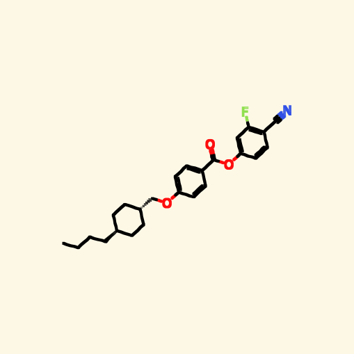 CCCC[C@H]1CC[C@H](COc2ccc(C(=O)Oc3ccc(C#N)c(F)c3)cc2)CC1